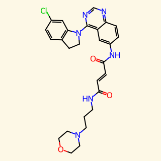 O=C(C=CC(=O)Nc1ccc2ncnc(N3CCc4ccc(Cl)cc43)c2c1)NCCCN1CCOCC1